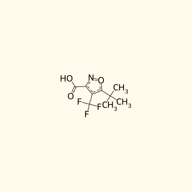 CC(C)(C)c1onc(C(=O)O)c1C(F)(F)F